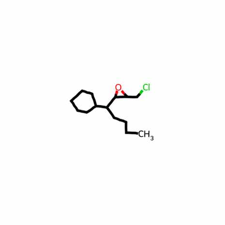 CCCCC(C1CCCCC1)C1OC1CCl